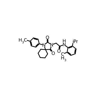 Cc1ccc(N2C(=O)N(CC(=O)Nc3c(C)cccc3C(C)C)C(=O)C23CCCCC3)cc1